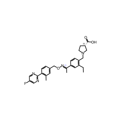 CCc1cc(/C(C)=N/OCc2ccc(-c3ncc(F)cn3)c(C)c2)ccc1CN1CC[C@H](C(=O)O)C1